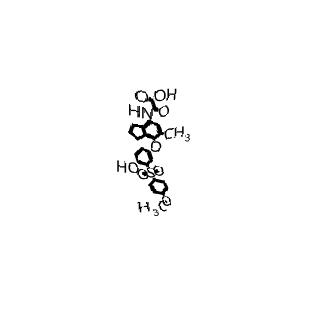 COc1ccc(S(=O)(=O)c2cc(Oc3c(C)cc(NC(=O)C(=O)O)c4c3CCC4)ccc2O)cc1